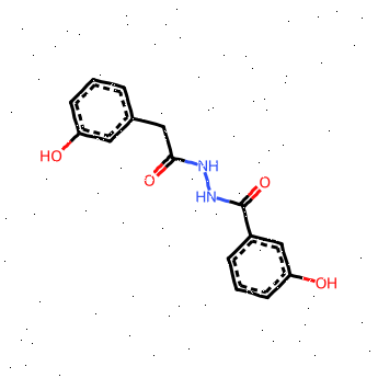 O=C(Cc1cccc(O)c1)NNC(=O)c1cccc(O)c1